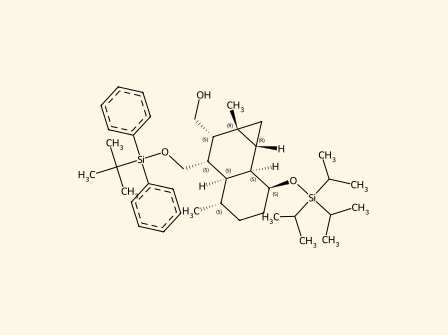 CC(C)[Si](O[C@H]1CC[C@H](C)[C@H]2[C@H](CO[Si](c3ccccc3)(c3ccccc3)C(C)(C)C)[C@H](CO)[C@]3(C)C[C@@H]3[C@H]21)(C(C)C)C(C)C